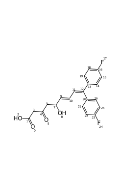 O=C(O)CC(=O)CC(O)/C=C/C=C(c1ccc(F)cc1)c1ccc(F)cc1